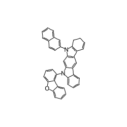 C1=Cc2c(n(-c3ccc4ccccc4c3)c3cc4c(cc23)c2ccccc2n4-c2cccc3oc4ccccc4c23)CC1